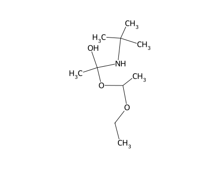 CCOC(C)OC(C)(O)NC(C)(C)C